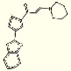 O=C(C=CN1CCCCC1)c1cc(-c2cc3ccccc3s2)cs1